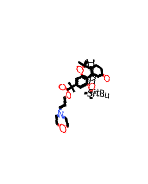 CC(C)(C(=O)OCCCN1CCOCC1)c1cc2c(c(O[Si](C)(C)C(C)(C)C)c1)[C@@H]1CC(=O)CC[C@H]1C(C)(C)O2